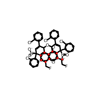 O=[N+]([O-])C1(c2ccccc2Cl)C=C(c2ccccc2Cl)C(OC2C(c3ccccc3Cl)=CC(c3ccccc3Cl)([N+](=O)[O-])C(OCCF)=C2c2ccccc2Cl)C(c2ccccc2Cl)=C1OCCF